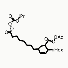 CCCCCCC1C=CC(CCCCCCCC(=O)OOC(=O)OC(C)C)CC1C(=O)OOC(C)=O